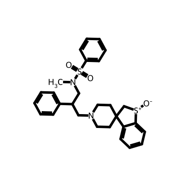 CN(CC(CN1CCC2(CC1)C[S+]([O-])c1ccccc12)c1ccccc1)S(=O)(=O)c1ccccc1